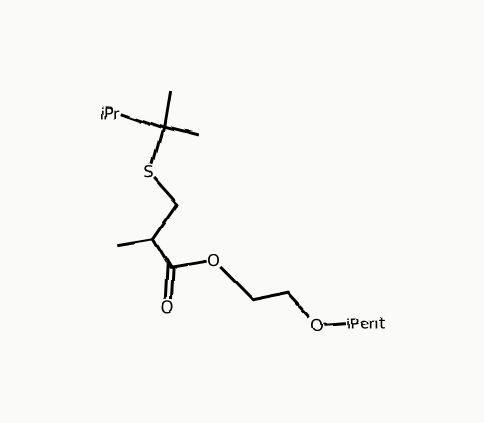 CCCC(C)OCCOC(=O)C(C)CSC(C)(C)C(C)C